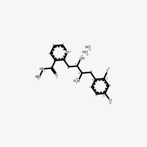 CC(C)(C)NC(=O)c1cccnc1CC(O)C(N)Cc1ccc(Cl)cc1F.Cl.Cl